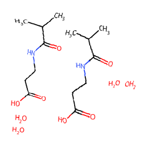 CC(C)C(=O)NCCC(=O)O.CC(C)C(=O)NCCC(=O)O.O.O.O.O